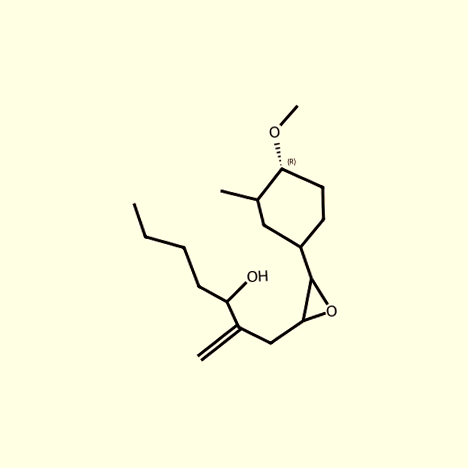 C=C(CC1OC1C1CC[C@@H](OC)C(C)C1)C(O)CCCC